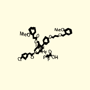 COc1ccccc1COCCCOc1ccc(C2=C(COC(=O)Cc3ccccc3OC)[C@H]3CN(C(=O)Cc4ccc(Cl)cc4)C[C@@H](C2)N3)cc1.O=C(O)C(F)(F)F